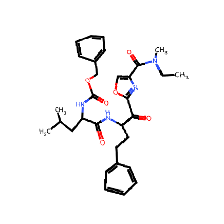 CCN(C)C(=O)c1coc(C(=O)C(CCc2ccccc2)NC(=O)C(CC(C)C)NC(=O)OCc2ccccc2)n1